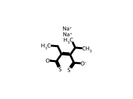 CC/C(C([O-])=S)=C(/C([O-])=S)C(C)C.[Na+].[Na+]